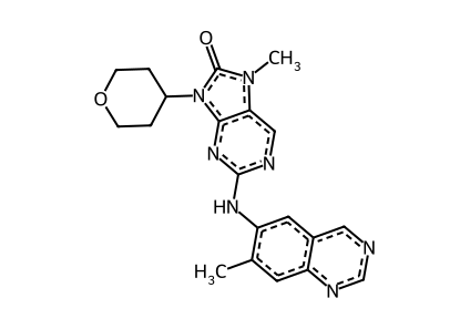 Cc1cc2ncncc2cc1Nc1ncc2c(n1)n(C1CCOCC1)c(=O)n2C